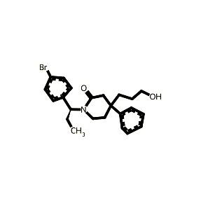 CC[C@@H](c1ccc(Br)cc1)N1CCC(CCCO)(c2ccccc2)CC1=O